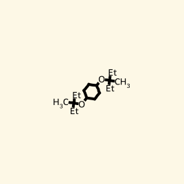 CCC(C)(CC)OC1CCC(OC(C)(CC)CC)CC1